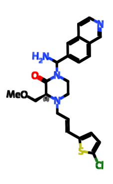 COC[C@H]1C(=O)N(C(N)c2ccc3cnccc3c2)CCN1CC=Cc1ccc(Cl)s1